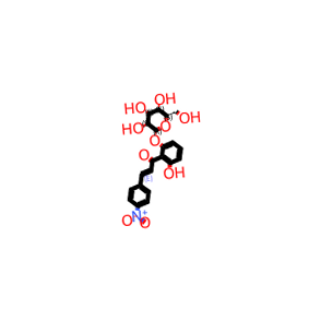 O=C(/C=C/c1ccc([N+](=O)[O-])cc1)c1c(O)cccc1O[C@H]1O[C@@H](CO)[C@@H](O)[C@H](O)[C@@H]1O